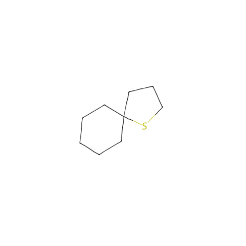 C1CCC2(CC1)CCCS2